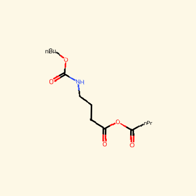 CCCCOC(=O)NCCCC(=O)OC(=O)CCC